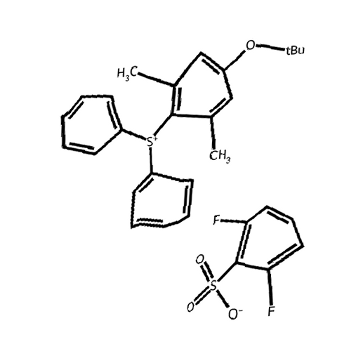 Cc1cc(OC(C)(C)C)cc(C)c1[S+](c1ccccc1)c1ccccc1.O=S(=O)([O-])c1c(F)cccc1F